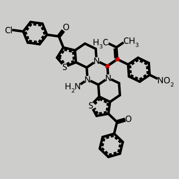 CC(C)=CCN1CCc2c(C(=O)c3ccccc3)csc2C1N(N)C1c2scc(C(=O)c3ccc(Cl)cc3)c2CCN1CCc1ccc([N+](=O)[O-])cc1